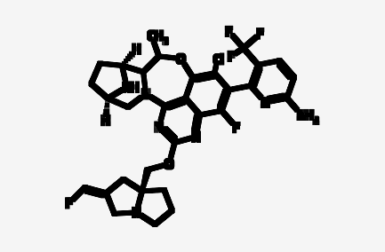 CC1Oc2c(Cl)c(-c3nc(N)ccc3C(F)(F)F)c(F)c3nc(OC[C@@]45CCCN4C/C(=C\F)C5)nc(c23)N2C[C@H]3CC[C@H](N3)C12